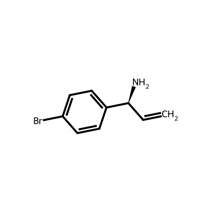 C=C[C@H](N)c1ccc(Br)cc1